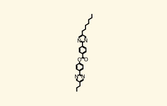 CCCCCCCc1cnc(-c2ccc(C(=O)Oc3ccc(-c4ncc(CCC)cn4)cc3)cc2)nc1